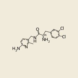 Cc1nc(N)ccc1CNC(=O)[C@H](N)Cc1ccc(Cl)c(Cl)c1